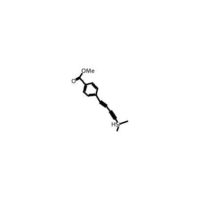 COC(=O)c1ccc(C#CC#C[SiH](C)C)cc1